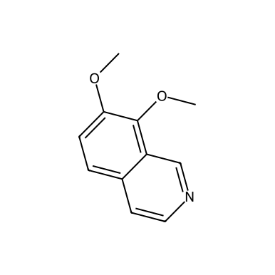 COc1ccc2ccncc2c1OC